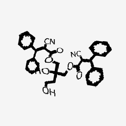 N#CC(C(=O)OCC(O)(CCO)COC(=O)C(C#N)=C(c1ccccc1)c1ccccc1)=C(c1ccccc1)c1ccccc1